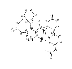 CN(C)CC1CCN(C2CCNCC2NC(=O)C(C(N)N)C2CC3(CCCCC3)CCC(Cl)CN2)CC1